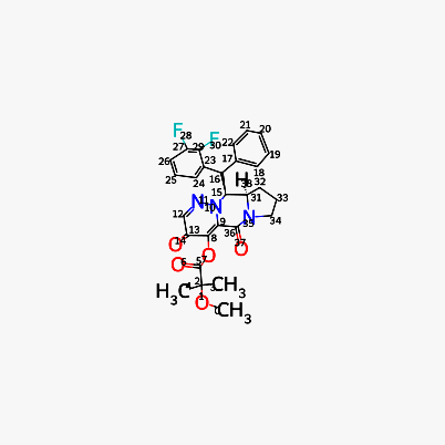 COC(C)(C)C(=O)Oc1c2n(ncc1=O)[C@@H](C(c1ccccc1)c1cccc(F)c1F)[C@H]1CCCN1C2=O